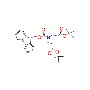 CC(C)(C)OC(=O)CCN(CCC(=O)OC(C)(C)C)C(=O)OCC1c2ccccc2-c2ccccc21